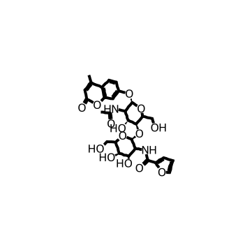 CC(=O)NC1[C@H](Oc2ccc3c(C)cc(=O)oc3c2)OC(CO)[C@@H](O[C@@H]2OC(CO)[C@H](O)[C@H](O)C2NC(=O)c2ccco2)[C@@H]1O